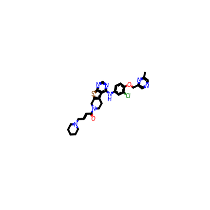 Cc1cncc(COc2ccc(Nc3ncnc4sc5c(c34)CCN(C(=O)/C=C/CN3CCCCC3)C5)cc2Cl)n1